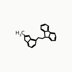 CC1=Cc2c(CCC3c4ccccc4-c4ccccc43)cccc2C1